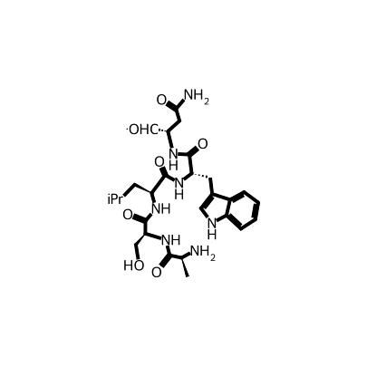 CC(C)C[C@H](NC(=O)[C@H](CO)NC(=O)[C@H](C)N)C(=O)N[C@@H](Cc1c[nH]c2ccccc12)C(=O)N[C@H]([C]=O)CC(N)=O